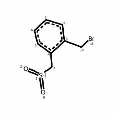 O=[SH](=O)Cc1ccccc1CBr